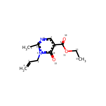 C=CCn1c(C)ncc(C(=O)OCC)c1=O